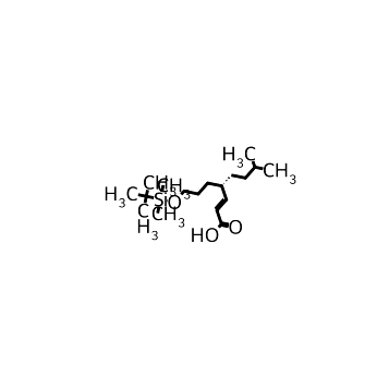 CC(C)CC[C@H](C=CC(=O)O)CCCO[Si](C)(C)C(C)(C)C